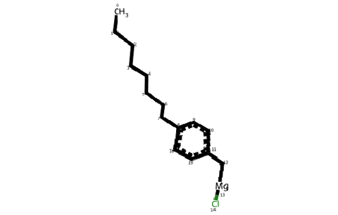 CCCCCCCCc1ccc([CH2][Mg][Cl])cc1